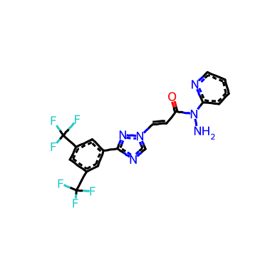 NN(C(=O)C=Cn1cnc(-c2cc(C(F)(F)F)cc(C(F)(F)F)c2)n1)c1ccccn1